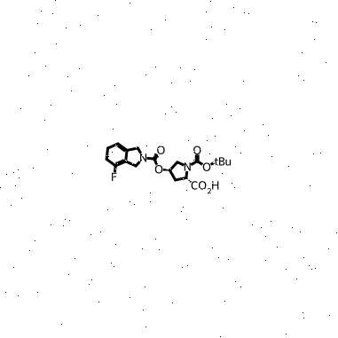 CC(C)(C)OC(=O)N1C[C@H](OC(=O)N2CC3=CCCC(F)=C3C2)C[C@H]1C(=O)O